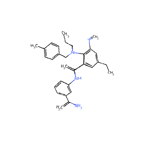 C=Nc1cc(CC)cc(C(=C)Nc2cccc(C(=C)N)c2)c1N(CCC)Cc1ccc(C)cc1